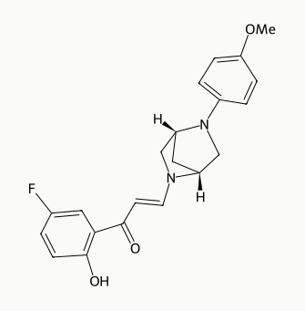 COc1ccc(N2C[C@H]3C[C@@H]2CN3/C=C/C(=O)c2cc(F)ccc2O)cc1